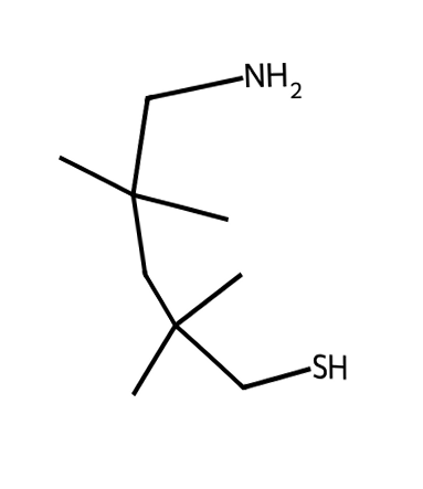 CC(C)(CN)CC(C)(C)CS